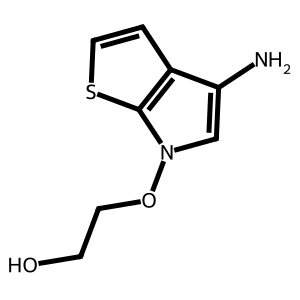 Nc1cn(OCCO)c2sccc12